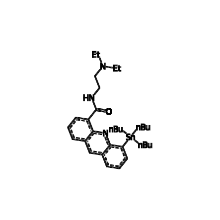 CCC[CH2][Sn]([CH2]CCC)([CH2]CCC)[c]1cccc2cc3cccc(C(=O)NCCN(CC)CC)c3nc12